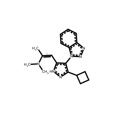 C/C(=C/c1[nH]nc(C2CCC2)c1-n1nnc2ccccc21)N(C)C